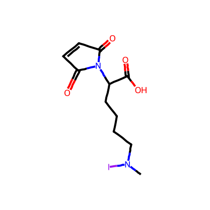 CN(I)CCCCC(C(=O)O)N1C(=O)C=CC1=O